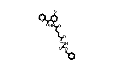 O=C(CCCC(=O)ONC(=O)OCc1ccccc1)Nc1ccc(Br)cc1C(=O)c1ccccn1